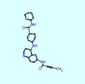 CC#CC(=O)Nc1ccc2nccc(Nc3ccc(C(=O)Nc4ccccn4)cc3)c2c1